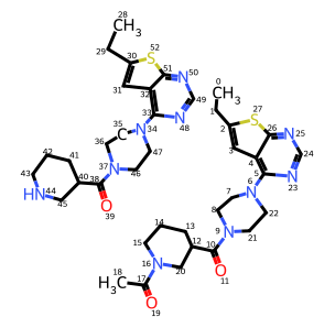 CCc1cc2c(N3CCN(C(=O)C4CCCN(C(C)=O)C4)CC3)ncnc2s1.CCc1cc2c(N3CCN(C(=O)C4CCCNC4)CC3)ncnc2s1